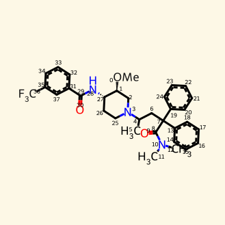 CO[C@H]1CN(C(C)CC(C(=O)N(C)C)(c2ccccc2)c2ccccc2)CC[C@@H]1NC(=O)c1cccc(C(F)(F)F)c1